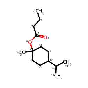 CCCC(=O)OC1(C)CCC(C(C)C)CC1